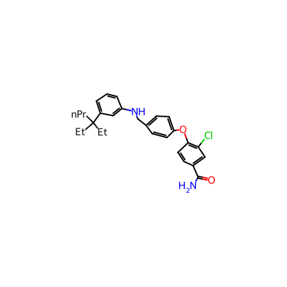 CCCC(CC)(CC)c1cccc(NCc2ccc(Oc3ccc(C(N)=O)cc3Cl)cc2)c1